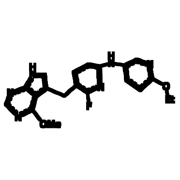 CCOc1ccc(Nc2ccc(Cc3c[nH]c4ncnc(OC)c34)c(F)n2)cn1